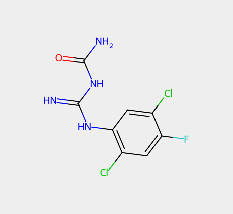 N=C(NC(N)=O)Nc1cc(Cl)c(F)cc1Cl